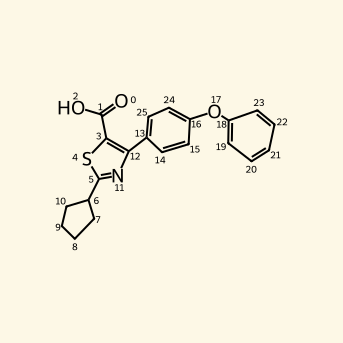 O=C(O)c1sc(C2CCCC2)nc1-c1ccc(Oc2ccccc2)cc1